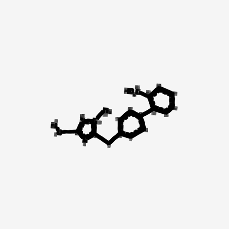 CCOc1nc(Cc2ccc(-c3ccccc3C(=O)O)cc2)n(C(C)CC)n1